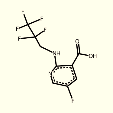 O=C(O)c1cc(F)cnc1NCC(F)(F)C(F)(F)F